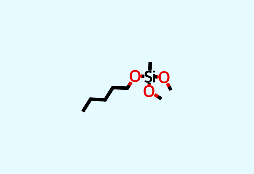 CCCCCO[Si](C)(OC)OC